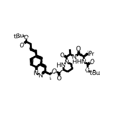 CC(NC(=O)C(NC(=O)OC(C)(C)C)C(C)C)C(=O)N1CCC[C@@H](C(=O)O[C@H](C)c2cc3cc(/C=C/CC(=O)OC(C)(C)C)ccc3nn2)N1